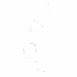 NNS(=O)(=O)c1ccc(Oc2ccc(S(=O)(=O)NN)cc2)cc1